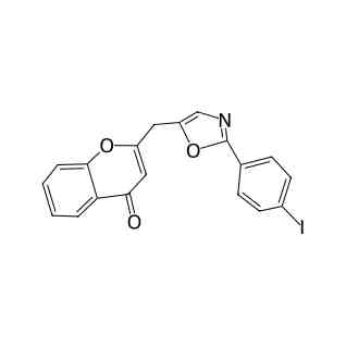 O=c1cc(Cc2cnc(-c3ccc(I)cc3)o2)oc2ccccc12